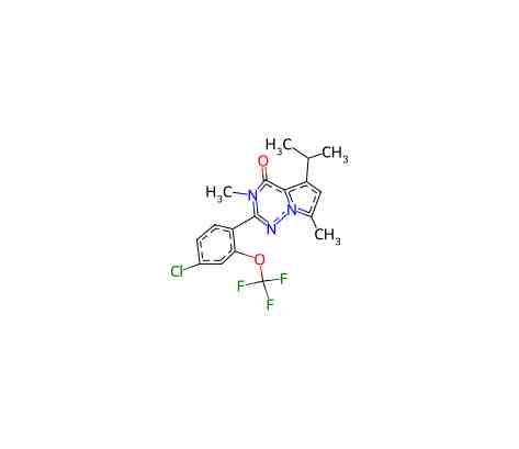 Cc1cc(C(C)C)c2c(=O)n(C)c(-c3ccc(Cl)cc3OC(F)(F)F)nn12